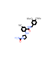 COc1ccc(CNC(=O)c2cc(C#N)ccc2N[C@@H]2CCN(C(N)=O)C2)cc1OC